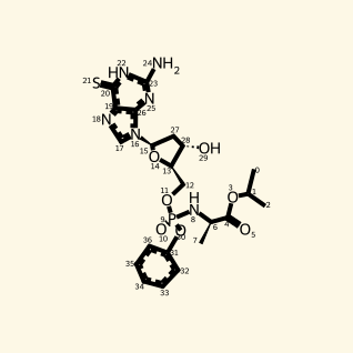 CC(C)OC(=O)[C@@H](C)NP(=O)(OC[C@H]1O[C@@H](n2cnc3c(=S)[nH]c(N)nc32)C[C@@H]1O)Oc1ccccc1